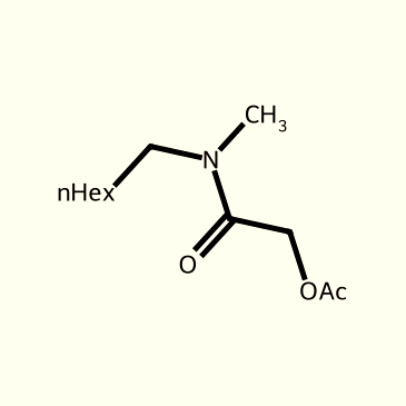 CCCCCCCN(C)C(=O)COC(C)=O